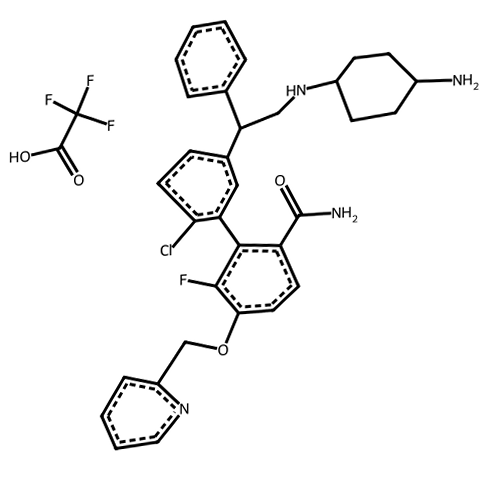 NC(=O)c1ccc(OCc2ccccn2)c(F)c1-c1cc(C(CNC2CCC(N)CC2)c2ccccc2)ccc1Cl.O=C(O)C(F)(F)F